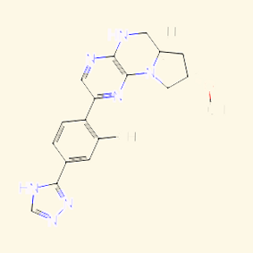 CO[C@H]1C[C@@H]2CNc3ncc(-c4ccc(-c5nnc[nH]5)cc4C)nc3N2C1